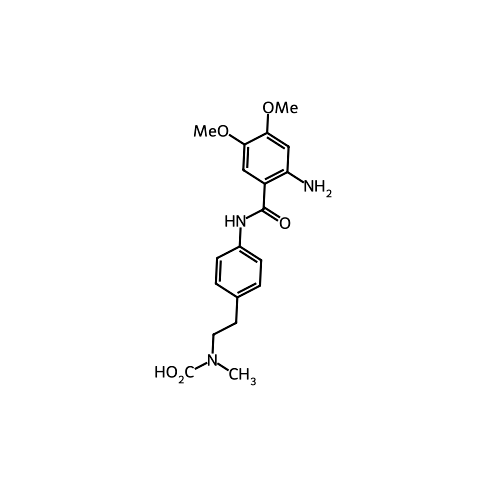 COc1cc(N)c(C(=O)Nc2ccc(CCN(C)C(=O)O)cc2)cc1OC